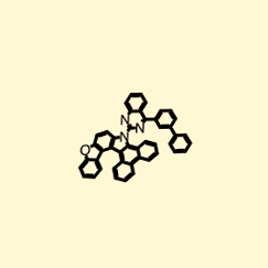 c1ccc(-c2cccc(-c3nc(-n4c5ccc6oc7ccccc7c6c5c5c6ccccc6c6ccccc6c54)nc4ccccc34)c2)cc1